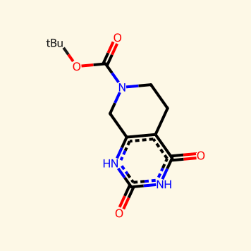 CC(C)(C)OC(=O)N1CCc2c([nH]c(=O)[nH]c2=O)C1